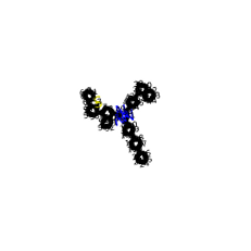 C1=CC2Sc3c(-c4ccc(-c5nc(-c6ccc(-c7ccc(-c8ccccc8)cc7)cc6)nc(-c6ccc(-c7cccc8ccccc78)cc6)n5)c5ccccc45)cccc3C2C=C1